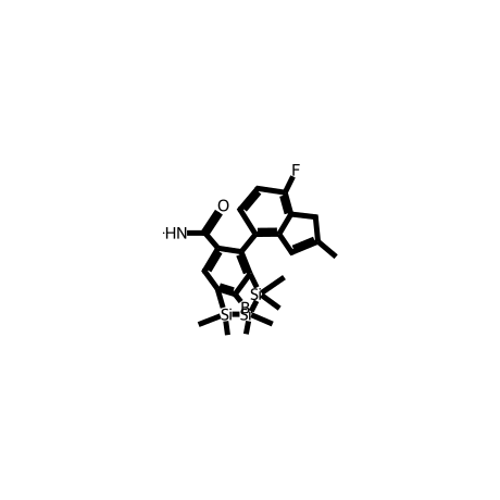 CC1=Cc2c(-c3c(C([NH])=O)cc4c(Br)c3[Si](C)(C)[Si](C)(C)[Si]4(C)C)ccc(F)c2C1